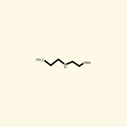 COCCNCCC(=O)O